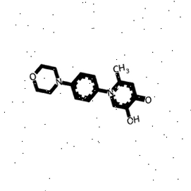 Cc1cc(=O)c(O)cn1-c1ccc(N2CCOCC2)cc1